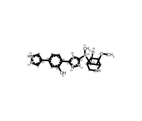 COC1C2CCC(CN2)[C@@H]1N(C)c1nnc(-c2ccc(-c3cn[nH]c3)cc2O)s1